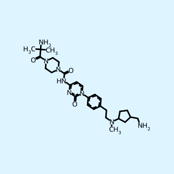 CN(CCc1ccc(-n2ccc(NC(=O)N3CCN(C(=O)C(C)(C)N)CC3)nc2=O)cc1)C1CCC(CN)C1